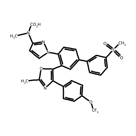 Cc1nc(-c2ccc(OC(F)(F)F)cc2)c(-c2cc(-c3cccc(S(C)(=O)=O)c3)ccc2-n2ccc(N(C)C(=O)O)n2)o1